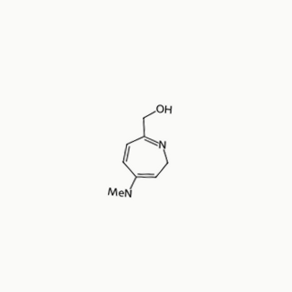 CNC1=CCN=C(CO)C=C1